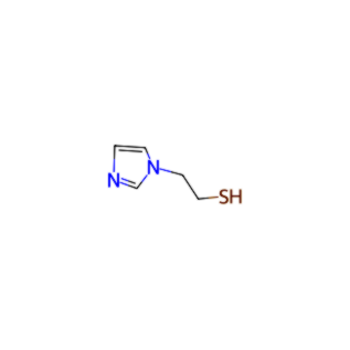 SCCn1ccnc1